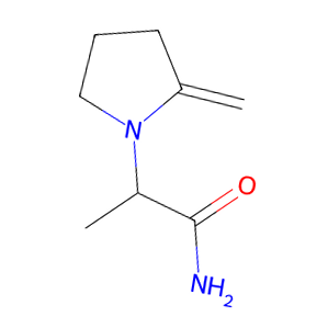 C=C1CCCN1C(C)C(N)=O